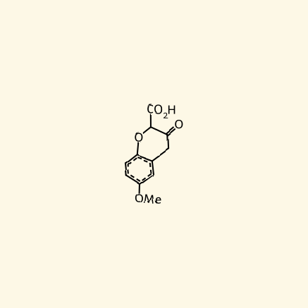 COc1ccc2c(c1)CC(=O)C(C(=O)O)O2